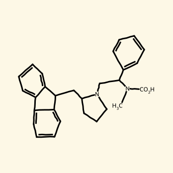 CN(C(=O)O)C(CN1CCCC1CC1c2ccccc2-c2ccccc21)c1ccccc1